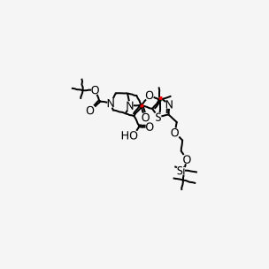 CC(C)(C)OC(=O)N1CC2CC(c3cnc(COCCO[Si](C)(C)C(C)(C)C)s3)=C(C(=O)O)C(C1)N2C(=O)OC(C)(C)C